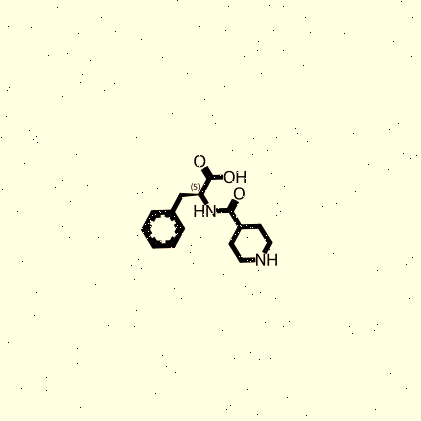 O=C(N[C@@H](Cc1ccccc1)C(=O)O)C1CCNCC1